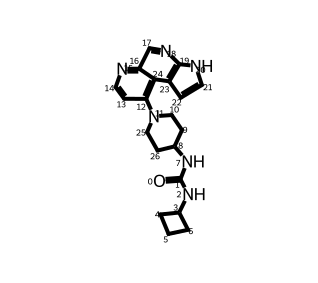 O=C(NC1CCC1)NC1CCN(c2ccnc3cnc4[nH]ccc4c23)CC1